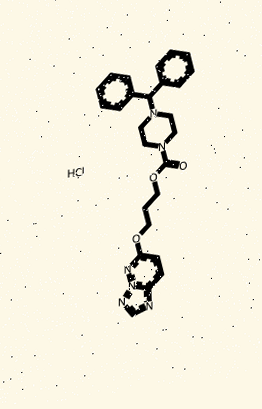 Cl.O=C(OCCCOc1ccc2ncnn2n1)N1CCN(C(c2ccccc2)c2ccccc2)CC1